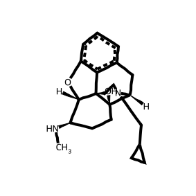 CN[C@@H]1CC[C@@]2(O)[C@H]3Cc4cccc5c4[C@@]2(CCN3CC2CC2)[C@H]1O5